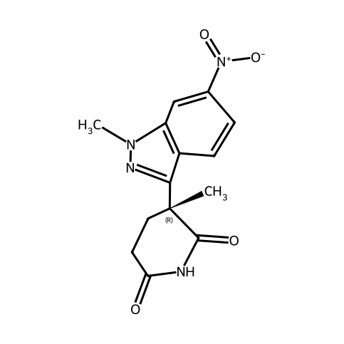 Cn1nc([C@@]2(C)CCC(=O)NC2=O)c2ccc([N+](=O)[O-])cc21